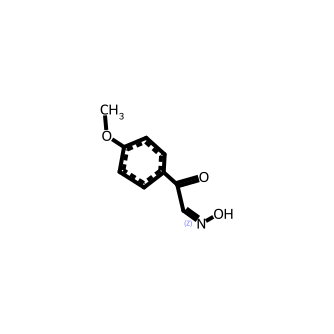 COc1ccc(C(=O)/C=N\O)cc1